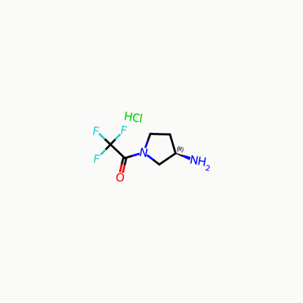 Cl.N[C@@H]1CCN(C(=O)C(F)(F)F)C1